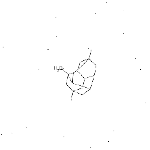 BC12CC3(C)CC4C5CC(C)(CC41)CC2C5C3